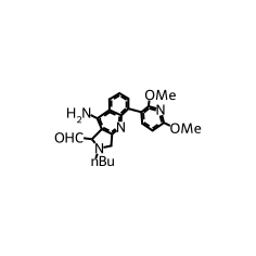 CCCCN1Cc2nc3c(-c4ccc(OC)nc4OC)cccc3c(N)c2C1C=O